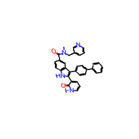 CN(Cc1cccnc1)C(=O)c1ccc2[nH]c(-c3ccc[nH]c3=O)c(-c3ccc(-c4ccccc4)cc3)c2c1